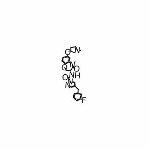 CN1CC[C@@H](Oc2ccc3c(c2)N(C)C(=O)[C@@H](NC(=O)n2cc(Cc4cccc(F)c4)cn2)CO3)C1